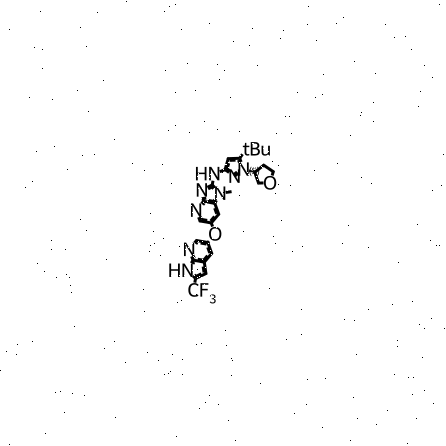 Cn1c(Nc2cc(C(C)(C)C)n([C@H]3CCOC3)n2)nc2ncc(Oc3cnc4[nH]c(C(F)(F)F)cc4c3)cc21